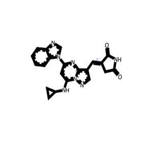 O=C1C/C(=C\c2cnn3c(NC4CC4)cc(-n4cnc5ccccc54)nc23)C(=O)N1